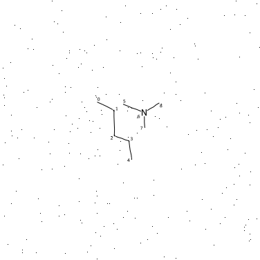 CCCCC.CN(C)C